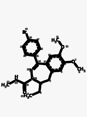 CCC1Cc2cc(OC)c(OC)cc2C(c2ccc(Br)cc2)=NN1C(=O)NC